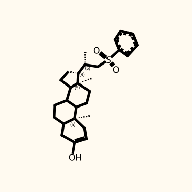 C[C@H](CS(=O)(=O)c1ccccc1)[C@H]1CCC2C3CCC4CC(O)=CC[C@]4(C)C3CC[C@@]21C